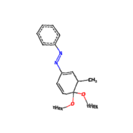 CCCCCCOC1(OCCCCCC)C=CC(N=Nc2ccccc2)=CC1C